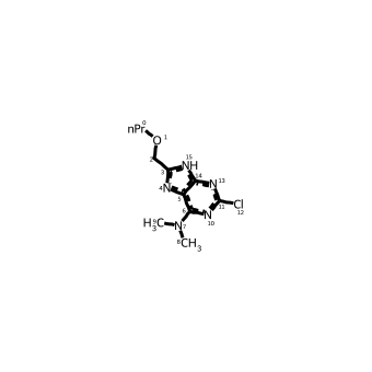 CCCOCc1nc2c(N(C)C)nc(Cl)nc2[nH]1